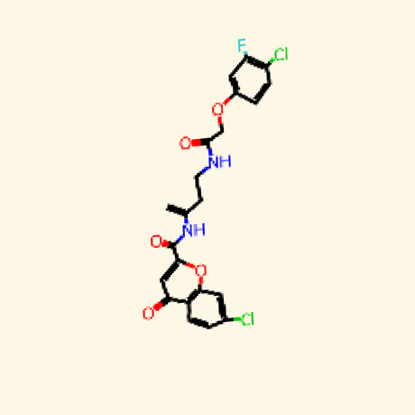 C=C(CCNC(=O)COc1ccc(Cl)c(F)c1)NC(=O)c1cc(=O)c2ccc(Cl)cc2o1